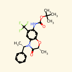 C[C@H]1Oc2cc(NC(=O)OC(C)(C)C)c(C(F)(F)F)cc2N([C@@H](C)c2ccccc2)C1=O